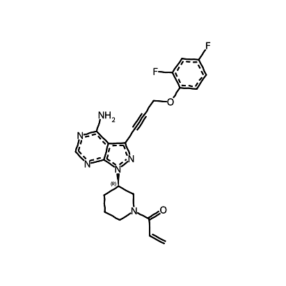 C=CC(=O)N1CCC[C@@H](n2nc(C#CCOc3ccc(F)cc3F)c3c(N)ncnc32)C1